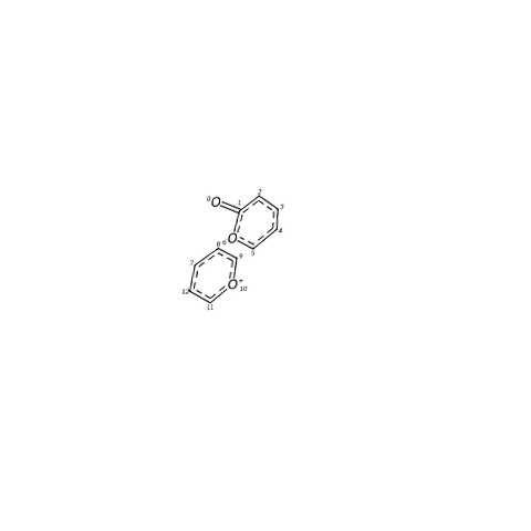 O=c1cccco1.c1cc[o+]cc1